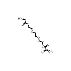 C=CC(=O)OCCOCCOCCOC(=O)C(=C)C